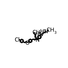 CCCCn1c(CCc2ccc(OCCc3ccc(Cl)cc3)cc2)nc2ccc(NCCCNCC)cc21